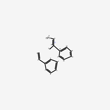 C=Cc1ccccc1.CCC/C=C(\C)c1ccccc1